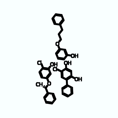 C.Oc1cc(O)c(-c2ccccc2)cc1Cl.Oc1cc(OCc2ccccc2)ccc1Cl.Oc1cccc(OCCCc2ccccc2)c1